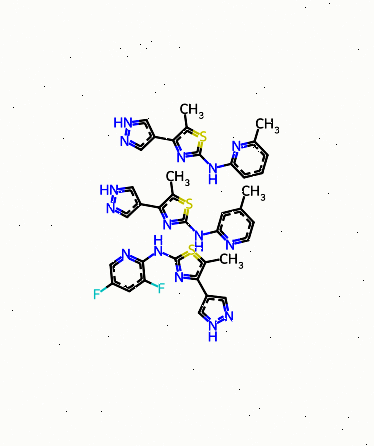 Cc1cccc(Nc2nc(-c3cn[nH]c3)c(C)s2)n1.Cc1ccnc(Nc2nc(-c3cn[nH]c3)c(C)s2)c1.Cc1sc(Nc2ncc(F)cc2F)nc1-c1cn[nH]c1